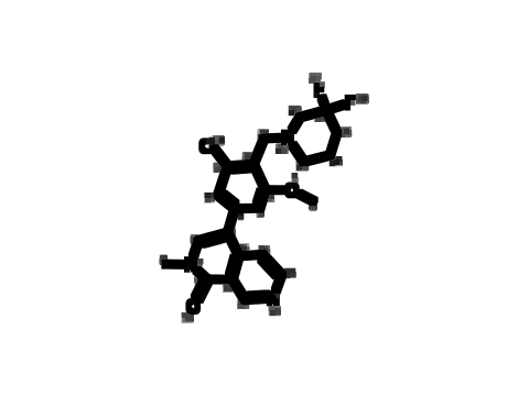 COc1cc(-c2cn(C)c(=O)c3cnccc23)cc(Cl)c1CN1CCCC(F)(F)C1